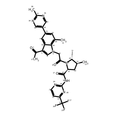 CC(=O)c1cn(CC(=O)N2[C@H](I)[C@@H](C)C[C@H]2C(=O)Nc2nccc(C(F)(F)F)n2)c2c(C)cc(-c3cnc(C)nc3)cc12